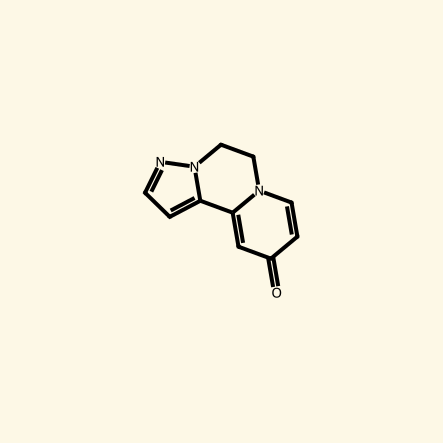 O=c1ccn2c(c1)-c1ccnn1CC2